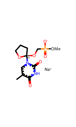 COP(=O)([O-])CO[C@]1(n2cc(C)c(=O)[nH]c2=O)CCCO1.[Na+]